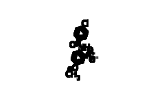 CCOc1ccc(NC(=O)c2ccc(Cl)cc2)c([N+](=O)[O-])c1